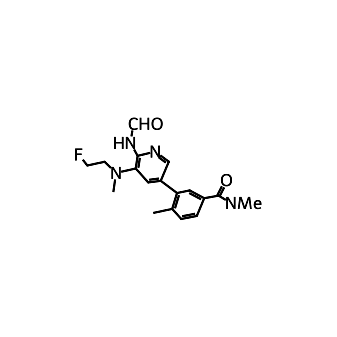 CNC(=O)c1ccc(C)c(-c2cnc(NC=O)c(N(C)CCF)c2)c1